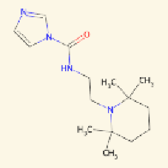 CC1(C)CCCC(C)(C)N1CCNC(=O)n1ccnc1